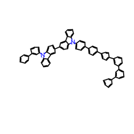 c1ccc(-c2cccc(-c3cccc(-c4ccc(-c5ccc(-c6ccc(-n7c8ccccc8c8cc(-c9ccc%10c(c9)c9ccccc9n%10-c9cccc(-c%10ccccc%10)c9)ccc87)cc6)cc5)cc4)c3)c2)cc1